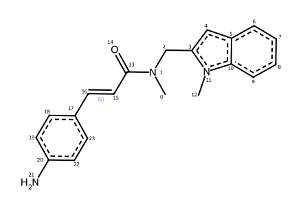 CN(Cc1cc2ccccc2n1C)C(=O)/C=C/c1ccc(N)cc1